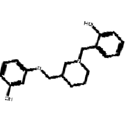 Oc1cccc(OCC2CCCN(Cc3ccccc3O)C2)c1